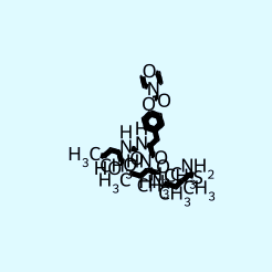 CCC(C)C(NC(=O)C(Cc1ccc(OC(=O)N2CCOCC2)cc1)NC(=O)NC(CC(C)C)C(=O)O)C(=O)NC(C)(C)CC(C)(C)C(N)=S